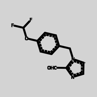 O=Cc1nc[c]n1Cc1ccc(OC(F)F)cc1